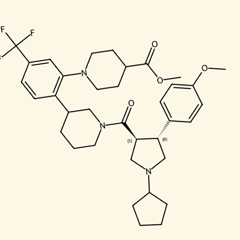 COC(=O)C1CCN(c2cc(C(F)(F)F)ccc2C2CCCN(C(=O)[C@@H]3CN(C4CCCC4)C[C@H]3c3ccc(OC)cc3)C2)CC1